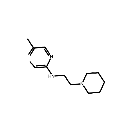 C=C(C)/C=N\C(=C/C)NCCN1CCCCC1